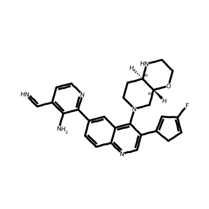 N=Cc1ccnc(-c2ccc3ncc(C4=CC(F)=CC4)c(N4CC[C@H]5NCCO[C@@H]5C4)c3c2)c1N